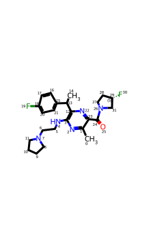 Cc1nc(NCCN2CCCC2)c(C(C)c2ccc(F)cc2)nc1C(=O)N1CC[C@H](F)C1